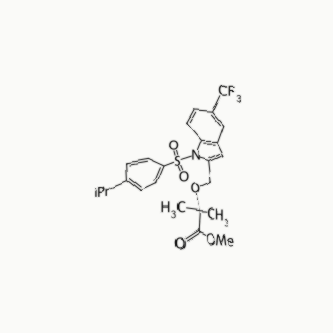 COC(=O)C(C)(C)OCc1cc2cc(C(F)(F)F)ccc2n1S(=O)(=O)c1ccc(C(C)C)cc1